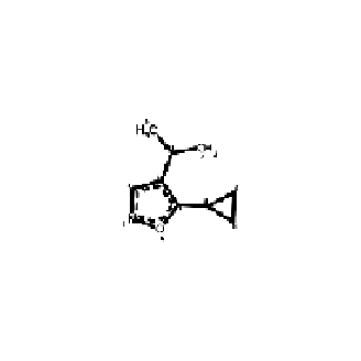 CC(C)c1cnoc1C1CC1